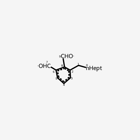 CCCCCCCCc1cccc([C]=O)c1[C]=O